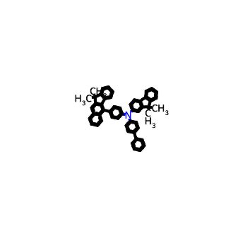 CC1(C)c2ccccc2-c2ccc(N(c3ccc(-c4ccccc4)cc3)c3ccc(-c4c5c(cc6ccccc46)C(C)(C)c4ccccc4-5)cc3)cc21